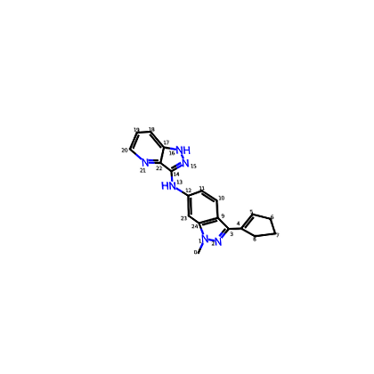 Cn1nc(C2=CCCC2)c2ccc(Nc3n[nH]c4cccnc34)cc21